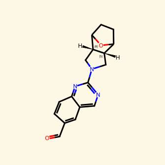 O=Cc1ccc2nc(N3C[C@@H]4C5CCC(O5)[C@@H]4C3)ncc2c1